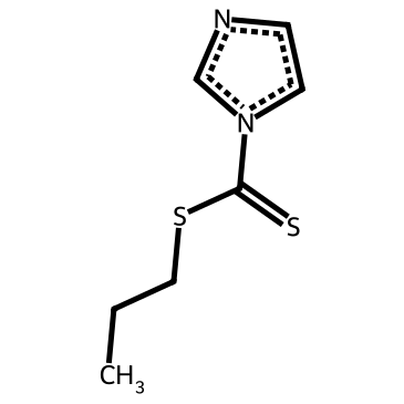 CCCSC(=S)n1ccnc1